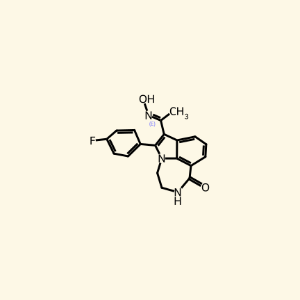 C/C(=N\O)c1c(-c2ccc(F)cc2)n2c3c(cccc13)C(=O)NCC2